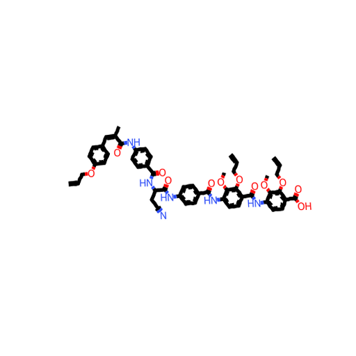 C=CCOc1ccc(C=C(C)C(=O)Nc2ccc(C(=O)NC(CC#N)C(=O)Nc3ccc(C(=O)Nc4ccc(C(=O)Nc5ccc(C(=O)O)c(OCC=C)c5OC)c(OCC=C)c4OC)cc3)cc2)cc1